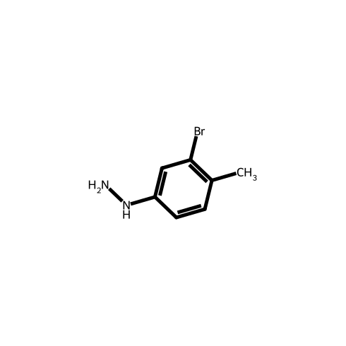 Cc1ccc(NN)cc1Br